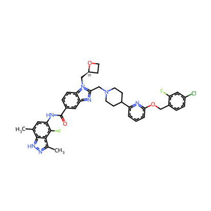 Cc1cc(NC(=O)c2ccc3c(c2)nc(CN2CCC(c4cccc(OCc5ccc(Cl)cc5F)n4)CC2)n3C[C@@H]2CCO2)c(F)c2c(C)n[nH]c12